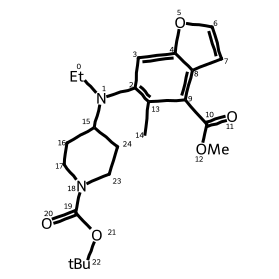 CCN(c1cc2occc2c(C(=O)OC)c1C)C1CCN(C(=O)OC(C)(C)C)CC1